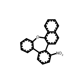 O=[N+]([O-])c1cccc2c1-c1ccc3ccccc3c1Oc1ccccc1-2